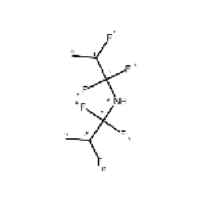 CC(F)C(F)(F)NC(F)(F)C(C)F